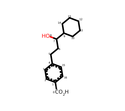 O=C(O)c1ccc(CCC(O)C2CCCCC2)cc1